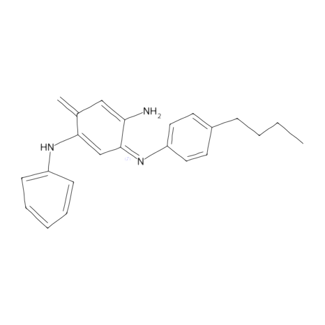 C=C1C=C(N)/C(=N\c2ccc(CCCC)cc2)C=C1Nc1ccccc1